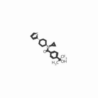 C[C@](O)(c1ccc(C(=O)N(C2CC2)[C@H]2CC[C@@H](c3cccs3)CC2)cc1)C(F)(F)F